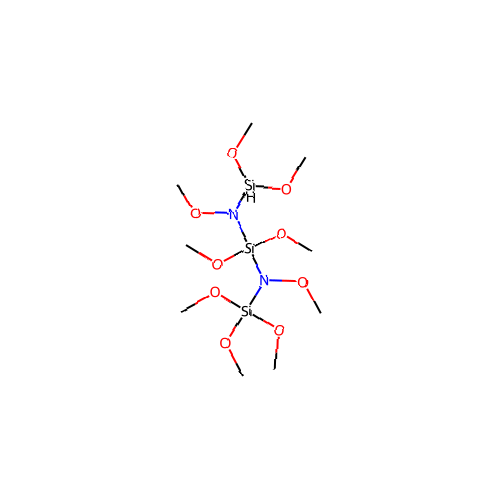 CON([SiH](OC)OC)[Si](OC)(OC)N(OC)[Si](OC)(OC)OC